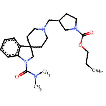 COCCOC(=O)N1CC[C@H](CN2CCC3(CC2)CN(C(=O)N(C)C)c2ccccc23)C1